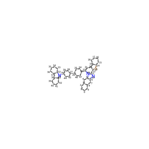 c1ccc2cc3c(cc2c1)nc1c2sc4ccccc4c2cc(-c2ccc(-c4ccc(-n5c6ccccc6c6ccccc65)cc4)cc2)n31